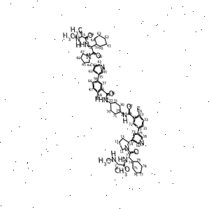 CN[C@@H](C)C(=O)N[C@H](C(=O)N1CCC[C@H]1c1cncc(-c2ccc(F)c(C(=O)NC3CCC(NC(=O)c4cc(-c5cncc([C@@H]6CCCN6C(=O)[C@@H](NC(=O)[C@H](C)NC)C6CCCCC6)c5)ccc4F)CC3)c2)c1)C1CCCCC1